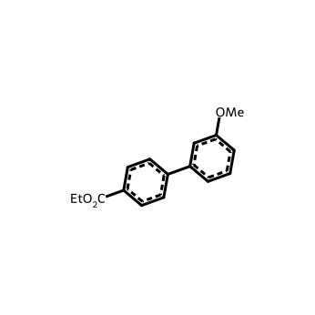 CCOC(=O)c1ccc(-c2cccc(OC)c2)cc1